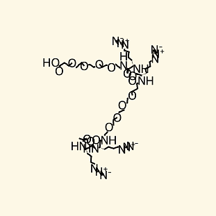 CC(=O)N[C@@H](CCCCN=[N+]=[N-])C(=O)N[C@@H](CCCCN=[N+]=[N-])C(=O)NCCOCCOCCOCCOCCC(=O)N[C@@H](CCCCN=[N+]=[N-])C(=O)N[C@@H](CCCCN=[N+]=[N-])C(=O)NCCOCCOCCOCCOCCC(=O)O